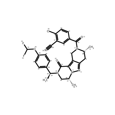 C[C@@H]1Cc2nn3c(c2CN1C(=O)c1ccc(Cl)c(C#N)c1)C(=O)N([C@@H](C)c1ccc(OC(F)F)cc1)C[C@H]3C